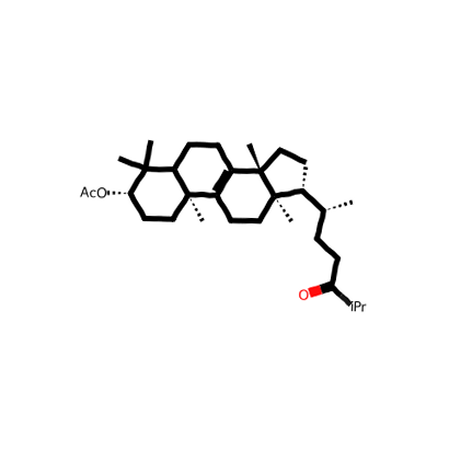 CC(=O)O[C@H]1CC[C@]2(C)C3=C(CCC2C1(C)C)[C@]1(C)CC[C@H]([C@H](C)CCC(=O)C(C)C)[C@@]1(C)CC3